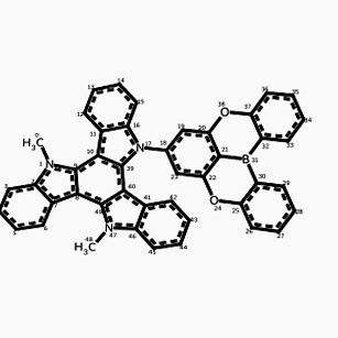 Cn1c2ccccc2c2c1c1c3ccccc3n(-c3cc4c5c(c3)Oc3ccccc3B5c3ccccc3O4)c1c1c3ccccc3n(C)c21